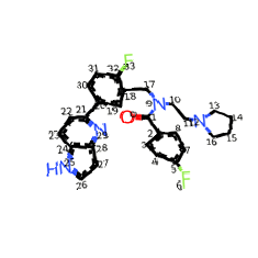 O=C(c1ccc(F)cc1)N(CCN1CCCC1)Cc1cc(-c2ccc3[nH]ccc3n2)ccc1F